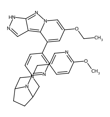 CCOc1cc(-c2ccc(N3C4CCC3CN(Cc3ccc(OC)nc3)C4)nc2)c2c3cn[nH]c3nn2c1